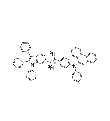 [2H]/C(=C(/[2H])c1ccc2c(-c3ccccc3)c(-c3ccccc3)n(-c3ccccc3)c2c1)c1ccc(N(c2ccccc2)c2cc3ccccc3c3ccccc23)cc1